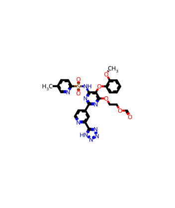 COc1ccccc1Oc1c(NS(=O)(=O)c2ccc(C)cn2)nc(-c2ccnc(-c3nnn[nH]3)c2)nc1OCCOC=O